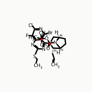 C=CC[C@H]1[C@@H]2CC[C@H](CN1c1nc(SCC)nc3c(F)c(Cl)nc(Br)c13)N2C(=O)OC(C)(C)C